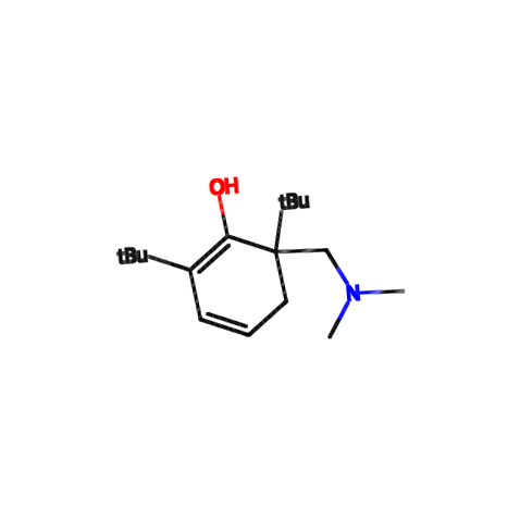 CN(C)CC1(C(C)(C)C)CC=CC(C(C)(C)C)=C1O